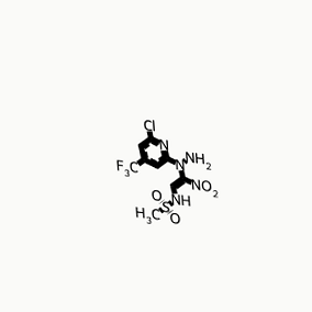 CS(=O)(=O)NC=C(N(N)c1cc(C(F)(F)F)cc(Cl)n1)[N+](=O)[O-]